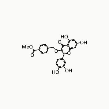 COC(=O)c1ccc(COc2c(-c3ccc(O)c(O)c3)oc3cc(O)cc(O)c3c2=O)cc1